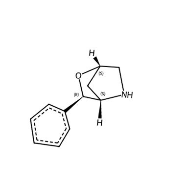 c1ccc([C@H]2O[C@@H]3CN[C@H]2C3)cc1